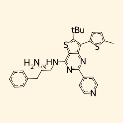 Cc1ccc(-c2c(C(C)(C)C)sc3c(NC[C@@H](N)Cc4ccccc4)nc(-c4ccncc4)nc23)s1